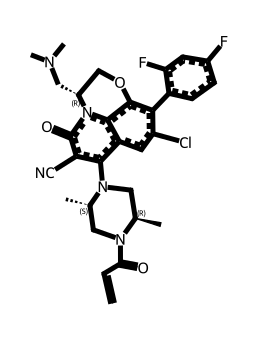 C=CC(=O)N1C[C@H](C)N(c2c(C#N)c(=O)n3c4c(c(-c5ccc(F)cc5F)c(Cl)cc24)OC[C@H]3CN(C)C)C[C@H]1C